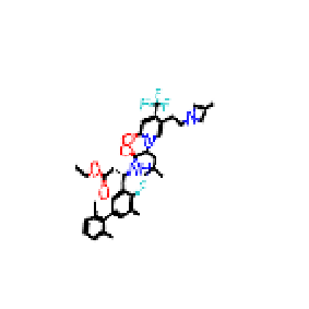 CCOC(=O)C[C@H](NC(=O)C(CC(C)C)n1cc(CCN2CC(C)C2)c(C(F)(F)F)cc1=O)c1cc(-c2c(C)cccc2C)cc(C)c1F